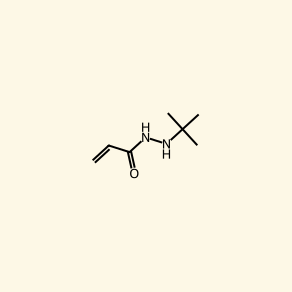 C=CC(=O)NNC(C)(C)C